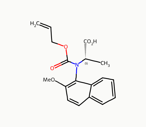 C=CCOC(=O)N(c1c(OC)ccc2ccccc12)[C@@H](C)C(=O)O